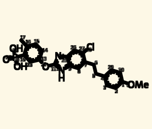 COc1ccc(CCc2cc3[nH]c(Oc4ccc(C)c(P(=O)(O)O)c4)nc3cc2Cl)cc1